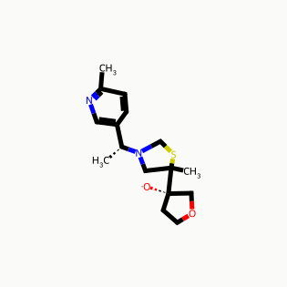 Cc1ccc([C@@H](C)N2CSC(C)([C@]3([O])CCOC3)C2)cn1